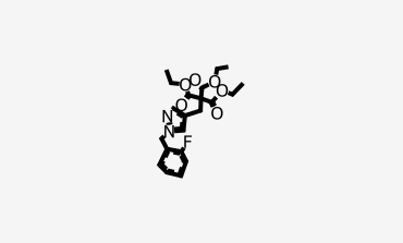 CCOC(=O)C(Cc1cnn(Cc2ccccc2F)c1)(C(=O)OCC)C(=O)OCC